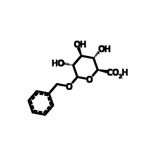 O=C(O)[C@H]1OC(OCc2ccccc2)[C@H](O)[C@@H](O)[C@@H]1O